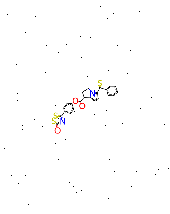 O=C(Oc1ccc(-c2nc(=O)ss2)cc1)C1CCn2c(C(=S)c3ccccc3)ccc21